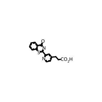 O=C(O)CCc1ccnc(-c2nc(=O)c3ccccc3s2)c1